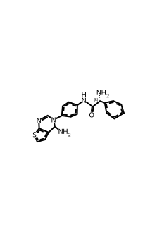 NC1c2ccsc2N=CN1c1ccc(NC(=O)[C@H](N)c2ccccc2)cc1